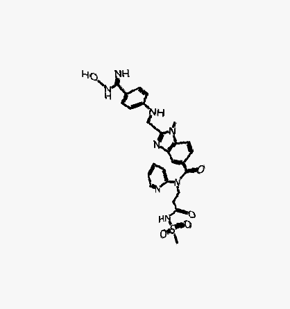 Cn1c(CNc2ccc(C(=N)NO)cc2)nc2cc(C(=O)N(CCC(=O)NS(C)(=O)=O)c3ccccn3)ccc21